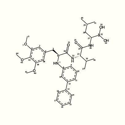 COc1cc(C[C@H](Nc2cccc(-c3ccccc3)c2)C(=O)N[C@H](C(=O)NC(CC(C)C)B(O)O)C(C)C)cc(OC)c1OC